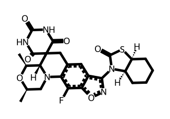 C[C@@H]1CN2c3c(cc4c(N5C(=O)S[C@H]6CCCC[C@H]65)noc4c3F)CC3(C(=O)NC(=O)NC3=O)[C@H]2[C@H](C)O1